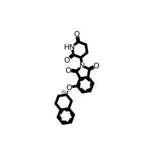 O=C1CCC(N2C(=O)c3cccc(O[C@H]4CCc5ccccc5C4)c3C2=O)C(=O)N1